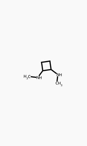 CNC1CCC1NC